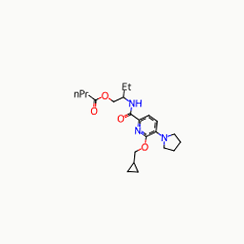 CCCC(=O)OCC(CC)NC(=O)c1ccc(N2CCCC2)c(OCC2CC2)n1